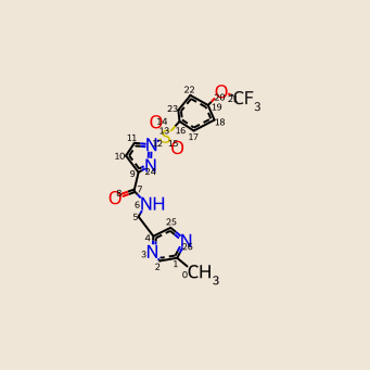 Cc1cnc(CNC(=O)c2ccn(S(=O)(=O)c3ccc(OC(F)(F)F)cc3)n2)cn1